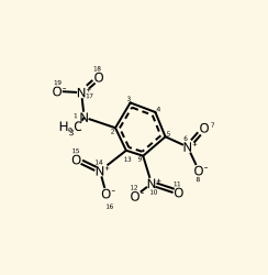 CN(c1ccc([N+](=O)[O-])c([N+](=O)[O-])c1[N+](=O)[O-])[N+](=O)[O-]